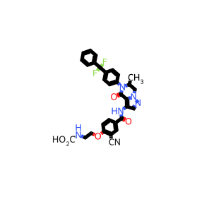 CC1Cn2ncc(NC(=O)c3ccc(OCCNC(=O)O)c(C#N)c3)c2C(=O)N1c1ccc(C(F)(F)c2ccccc2)cc1